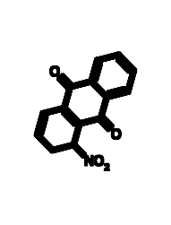 O=C1C2=C(C(=O)c3ccccc31)C([N+](=O)[O-])CC=C2